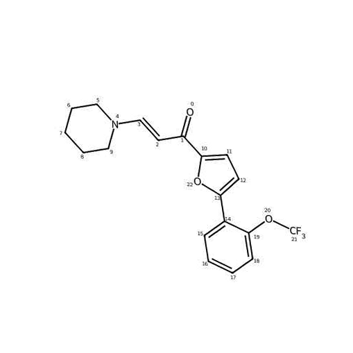 O=C(C=CN1CCCCC1)c1ccc(-c2ccccc2OC(F)(F)F)o1